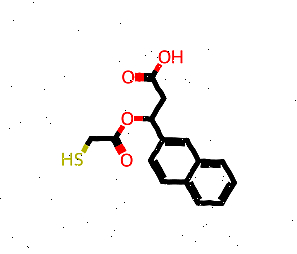 O=C(O)CC(OC(=O)CS)c1ccc2ccccc2c1